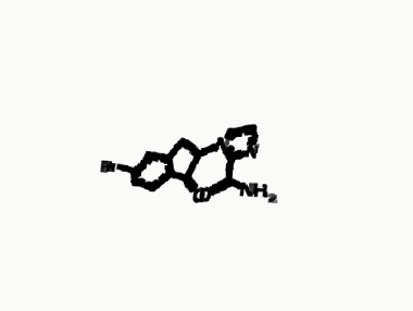 NC(=O)c1nccn1C1Cc2cc(Br)ccc2C1=O